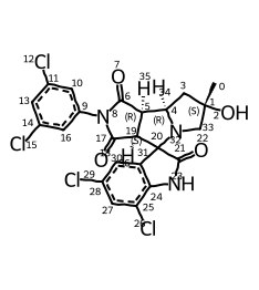 C[C@]1(O)C[C@@H]2[C@@H]3C(=O)N(c4cc(Cl)cc(Cl)c4)C(=O)[C@@H]3C3(C(=O)Nc4c(Cl)cc(Cl)cc43)N2C1